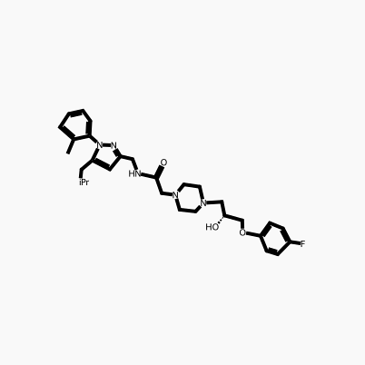 Cc1ccccc1-n1nc(CNC(=O)CN2CCN(C[C@@H](O)COc3ccc(F)cc3)CC2)cc1CC(C)C